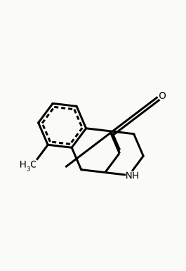 Cc1cccc2c1CC1NCCC23CC(=O)CCC13